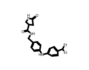 CCC(CC)c1ccc(Nc2ccc(CNC(=O)C3CNC(=O)C3)cc2)cc1